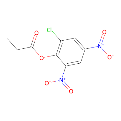 CCC(=O)Oc1c(Cl)cc([N+](=O)[O-])cc1[N+](=O)[O-]